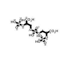 O=C(O)C(COP(=O)(O)OCC(OP(=O)(O)O)C(=O)O)OP(=O)(O)O